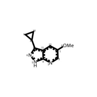 COc1cnc2[nH]nc(C3CC3)c2c1